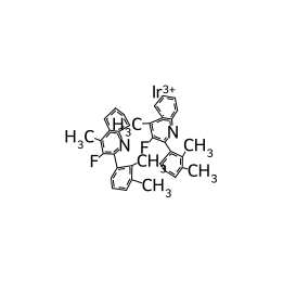 Cc1cccc(-c2nc3ccccc3c(C)c2F)c1C.Cc1cccc(-c2nc3ccccc3c(C)c2F)c1C.[Ir+3]